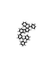 c1ccc(-c2nc3ccccc3c3c2ccc2sc4c(-c5cccc(N6c7ccccc7Sc7ccccc76)c5)cccc4c23)cc1